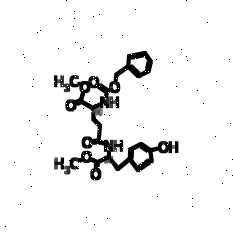 COC(=O)[C@H](Cc1ccc(O)cc1)NC(=O)CC[C@H](NC(=O)OCc1ccccc1)C(=O)OC